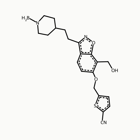 BN1CCC(CCc2noc3c(CO)c(OCc4ccc(C#N)s4)ccc23)CC1